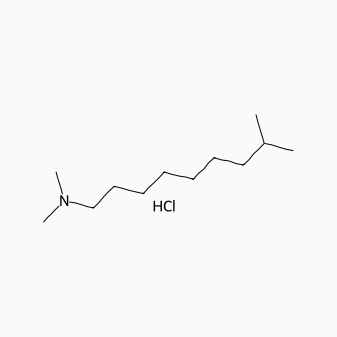 CC(C)CCCCCCCN(C)C.Cl